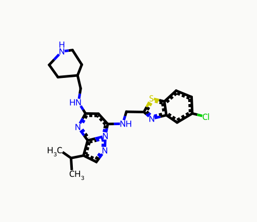 CC(C)c1cnn2c(NCc3nc4cc(Cl)ccc4s3)cc(NCC3CCNCC3)nc12